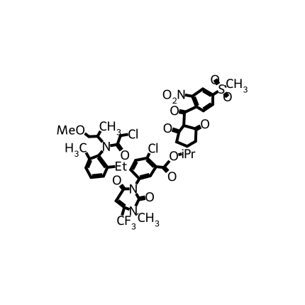 CC(C)OC(=O)c1cc(-n2c(=O)cc(C(F)(F)F)n(C)c2=O)ccc1Cl.CCc1cccc(C)c1N(C(=O)CCl)C(C)COC.CS(=O)(=O)c1ccc(C(=O)C2C(=O)CCCC2=O)c([N+](=O)[O-])c1